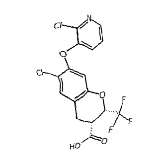 O=C(O)[C@@H]1Cc2cc(Cl)c(Oc3cccnc3Cl)cc2O[C@@H]1C(F)(F)F